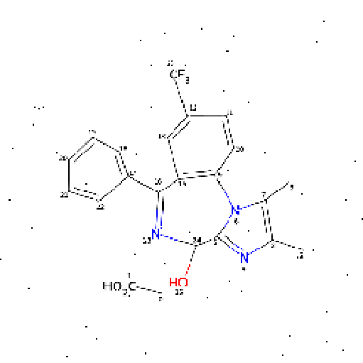 CC(=O)O.Cc1nc2n(c1C)-c1ccc(C(F)(F)F)cc1C(c1ccccc1)=NC2O